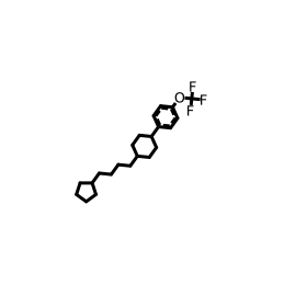 FC(F)(F)Oc1ccc(C2CCC(CCCCC3CCCC3)CC2)cc1